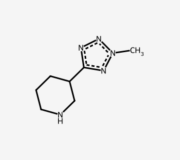 Cn1nnc(C2CCCNC2)n1